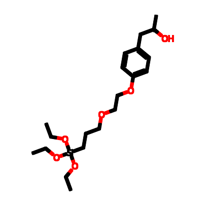 CCO[Si](CCCOCCOc1ccc(C[C](C)O)cc1)(OCC)OCC